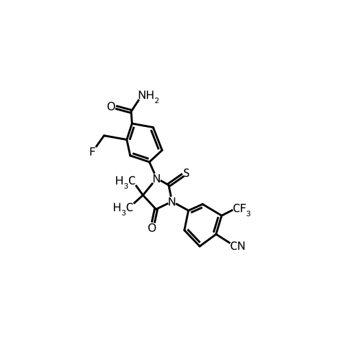 CC1(C)C(=O)N(c2ccc(C#N)c(C(F)(F)F)c2)C(=S)N1c1ccc(C(N)=O)c(CF)c1